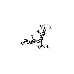 CCC(C)CCn1c2ccc(/C(CCC#N)=N/OC(=O)N3CCC(C(C)C)CC3)cc2c2cc(/C(CCC#N)=N/OC(=O)N3CCC(C(C)C)CC3)ccc21